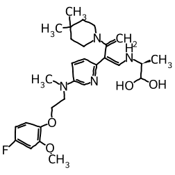 C=C(/C(=C\N[C@@H](C)C(O)O)c1ccc(N(C)CCOc2ccc(F)cc2OC)cn1)N1CCC(C)(C)CC1